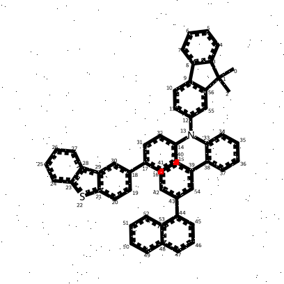 CC1(C)c2ccccc2-c2ccc(N(c3ccc(-c4ccc5sc6ccccc6c5c4)cc3)c3ccccc3-c3cccc(-c4cccc5ccccc45)c3)cc21